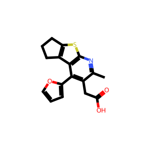 Cc1nc2sc3c(c2c(-c2ccco2)c1CC(=O)O)CCC3